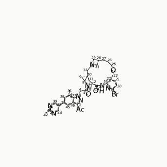 CC(=O)c1nn(CC(=O)N2C3C[C@]34C[C@H]2C(=O)Nc2nc(Br)ccc2COCCCC2CN(C2)C4)c2c(C)cc(-c3cnc(C)nc3)cc12